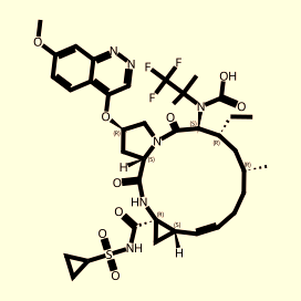 CC[C@@H]1C[C@H](C)CCC=C[C@@H]2C[C@@]2(C(=O)NS(=O)(=O)C2CC2)NC(=O)[C@@H]2C[C@@H](Oc3cnnc4cc(OC)ccc34)CN2C(=O)[C@H]1N(C(=O)O)C(C)(C)C(F)(F)F